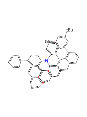 CC(C)(C)c1cc(-c2cccc3cccc(-c4ccccc4N(c4ccc(-c5ccccc5)cc4-c4ccccc4)c4ccccc4-c4cccc5ccccc45)c23)cc(C(C)(C)C)c1